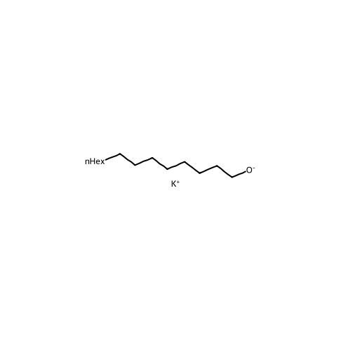 CCCCCCCCCCCCCC[O-].[K+]